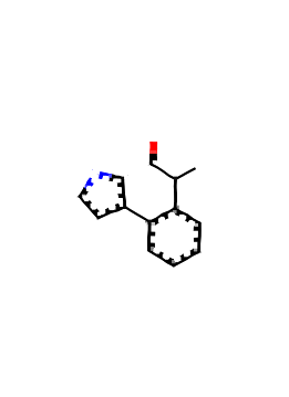 CC(C=O)c1ccccc1-c1cc[nH]c1